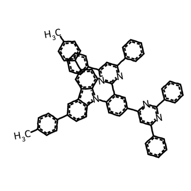 Cc1ccc(-c2ccc3c(c2)c2cc(-c4ccc(C)cc4)ccc2n3-c2ccc(-c3cc(-c4ccccc4)nc(-c4ccccc4)n3)cc2-c2nc(-c3ccccc3)cc(-c3ccccc3)n2)cc1